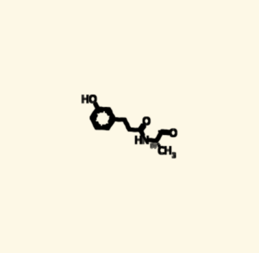 C[C@@H]([C]=O)NC(=O)CCc1cccc(O)c1